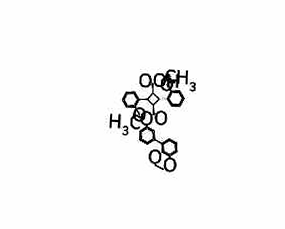 COc1ccccc1C1C(C(=O)Oc2cccc(-c3cccc4c3OCCO4)c2)[C@@H](c2ccccc2OC)[C@@H]1C(=O)O